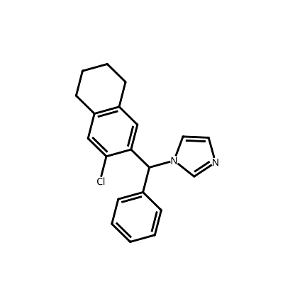 Clc1cc2c(cc1C(c1ccccc1)n1ccnc1)CCCC2